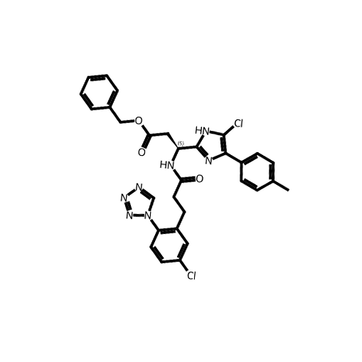 Cc1ccc(-c2nc([C@H](CC(=O)OCc3ccccc3)NC(=O)CCc3cc(Cl)ccc3-n3cnnn3)[nH]c2Cl)cc1